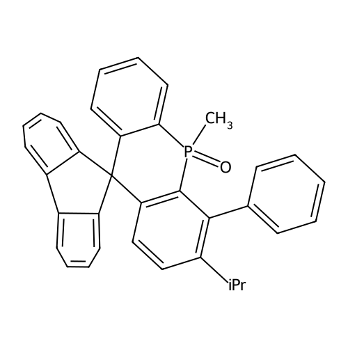 CC(C)c1ccc2c(c1-c1ccccc1)P(C)(=O)c1ccccc1C21c2ccccc2-c2ccccc21